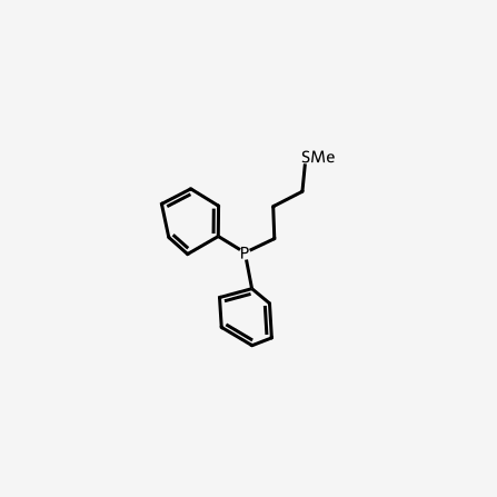 CSCCCP(c1ccccc1)c1ccccc1